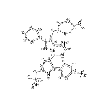 COc1ccc(Cn2c(-c3ccccc3)nc3c(-c4cn(CC(C)(C)O)nc4-c4ccc(F)cc4)ncnc32)cc1